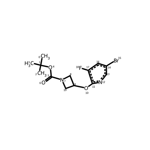 CC(C)(C)OC(=O)N1CC(Oc2ncc(Br)cc2F)C1